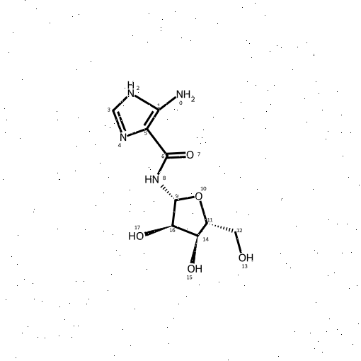 Nc1[nH]cnc1C(=O)N[C@@H]1O[C@H](CO)[C@@H](O)[C@H]1O